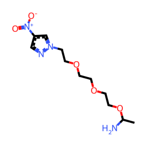 CC(N)OCCOCCOCCn1cc([N+](=O)[O-])cn1